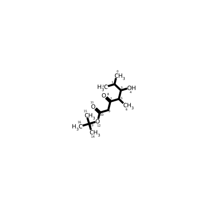 CC(C)C(O)C(C)C(=O)CC(=O)OC(C)(C)C